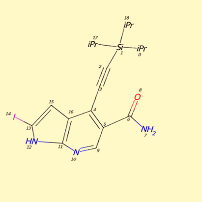 CC(C)[Si](C#Cc1c(C(N)=O)cnc2[nH]c(I)cc12)(C(C)C)C(C)C